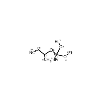 CCC[Si](OCC)(OCC)OC(C)SC#N